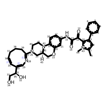 Cc1cc(-c2ccccc2)c(C(=O)C(=O)Nc2ccc3c(c2)OC[C@H]2CN(/C4=N/C=C([C@@H](O)CO)\C=C/CCC4)CCN32)n1C